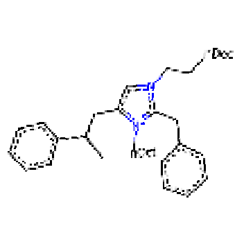 CCCCCCCCCCCCn1cc(CC(C)c2ccccc2)[n+](CCCCCCCC)c1Cc1ccccc1